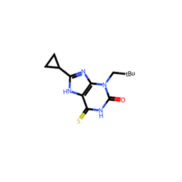 CC(C)(C)Cn1c(=O)[nH]c(=S)c2[nH]c(C3CC3)nc21